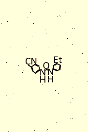 CCc1cccc(NC(=O)Nc2ccc(CC#N)cc2)c1